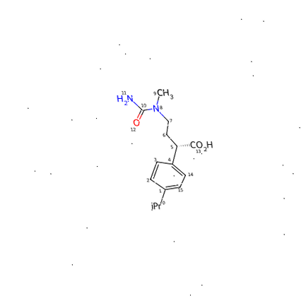 CC(C)c1ccc([C@H](CCN(C)C(N)=O)C(=O)O)cc1